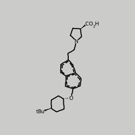 CC(C)(C)[C@H]1CC[C@H](Oc2ccc3cc(CCN4CC[C@@H](C(=O)O)C4)ccc3c2)CC1